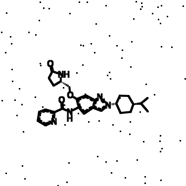 CC(C)[C@H]1CC[C@H](n2cc3cc(NC(=O)c4ccccn4)c(OC[C@@H]4CCC(=O)N4)cc3n2)CC1